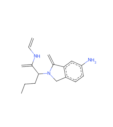 C=CNC(=C)C(CCC)N1Cc2ccc(N)cc2C1=C